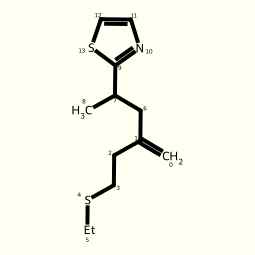 C=C(CCSCC)CC(C)c1nccs1